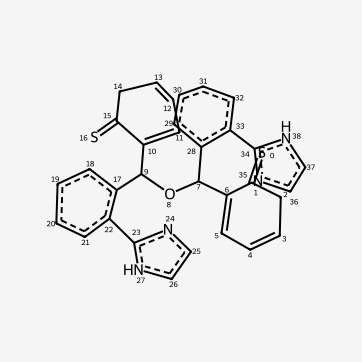 S=C1CC=CC=C1C(OC(C1=CC=CCC1=S)c1ccccc1-c1ncc[nH]1)c1ccccc1-c1ncc[nH]1